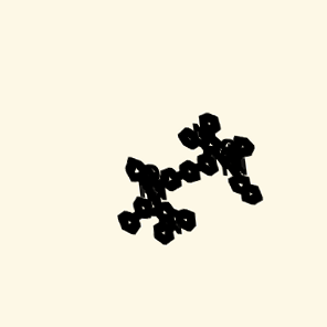 c1ccc(-c2ccc3c(c2)c2c4c5ccccc5n5c6ccccc6c(cc2n3-c2nc(-c3ccc(-c6ccc(-c7ccc8c(c7)c7c9c%10ccccc%10n%10c%11ccccc%11c(cc7n8-c7nc(-c8ccc%11ccccc%11c8)nc8c7oc7ccccc78)c9%10)cc6)cc3)c3oc6ccccc6c3n2)c45)cc1